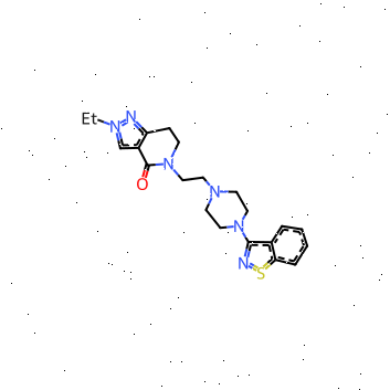 CCn1cc2c(n1)CCN(CCN1CCN(c3nsc4ccccc34)CC1)C2=O